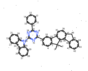 CC1(C)c2ccc(-c3nc(-c4ccccc4)nc(-n4c5ccccc5c5ccccc54)n3)cc2-c2ccc3c(c21)-c1ccccc1C3